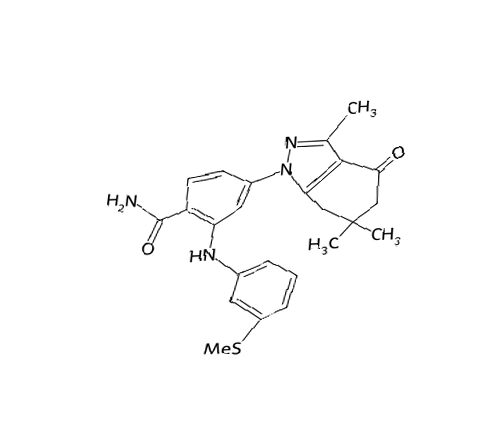 CSc1cccc(Nc2cc(-n3nc(C)c4c3CC(C)(C)CC4=O)ccc2C(N)=O)c1